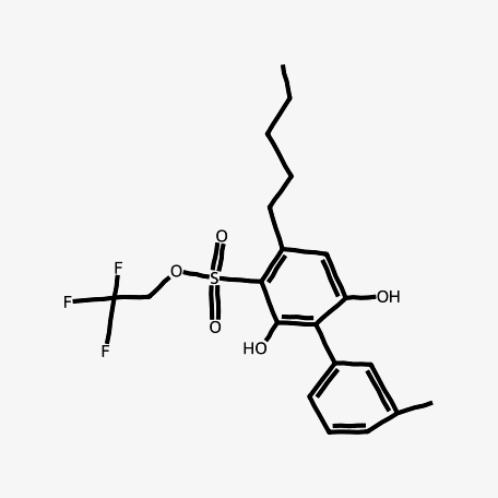 CCCCCc1cc(O)c(-c2cccc(C)c2)c(O)c1S(=O)(=O)OCC(F)(F)F